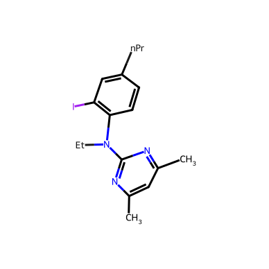 CCCc1ccc(N(CC)c2nc(C)cc(C)n2)c(I)c1